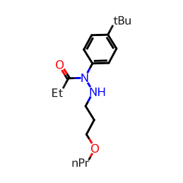 CCCOCCCNN(C(=O)CC)c1ccc(C(C)(C)C)cc1